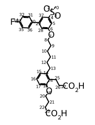 CS(=O)(=O)c1cc(OCCCCCCc2cccc(OCCCC(=O)O)c2CCC(=O)O)cc(-c2ccc(F)cc2)c1